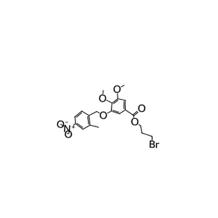 COc1cc(C(=O)OCCCBr)cc(OCc2ccc([N+](=O)[O-])cc2C)c1OC